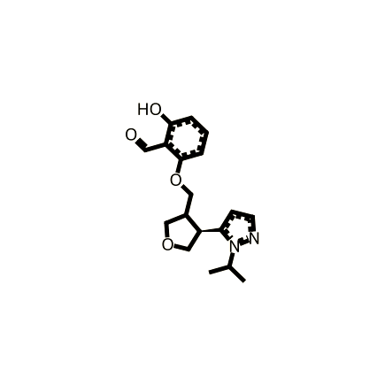 CC(C)n1nccc1[C@H]1COCC1COc1cccc(O)c1C=O